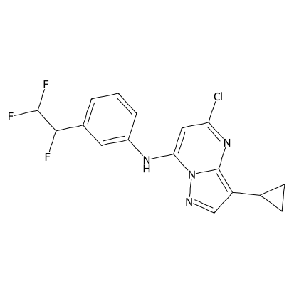 FC(F)C(F)c1cccc(Nc2cc(Cl)nc3c(C4CC4)cnn23)c1